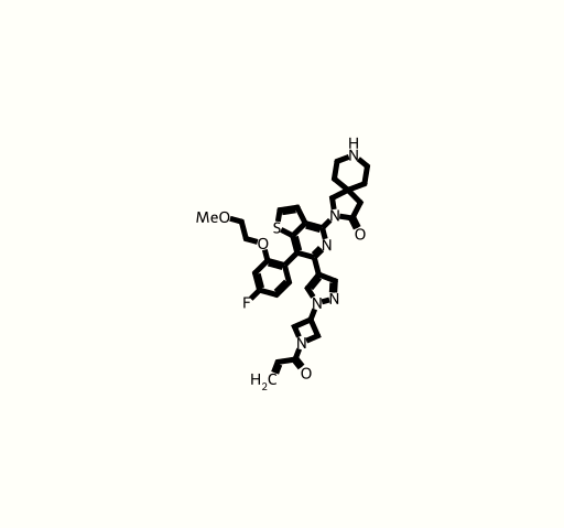 C=CC(=O)N1CC(n2cc(-c3nc(N4CC5(CCNCC5)CC4=O)c4ccsc4c3-c3ccc(F)cc3OCCOC)cn2)C1